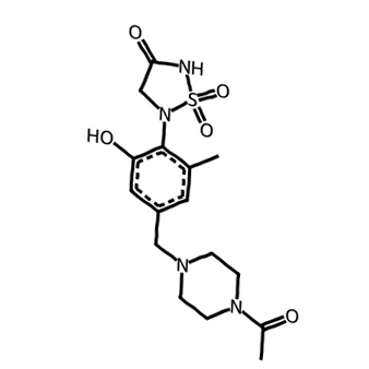 CC(=O)N1CCN(Cc2cc(C)c(N3CC(=O)NS3(=O)=O)c(O)c2)CC1